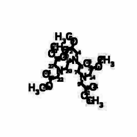 COC(=O)CN(CCN(CC(=O)OC)CC(=O)OC)CCN(CC(=O)OC)CC(=O)OC